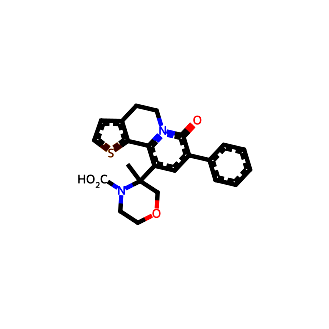 CC1(c2cc(-c3ccccc3)c(=O)n3c2-c2sccc2CC3)COCCN1C(=O)O